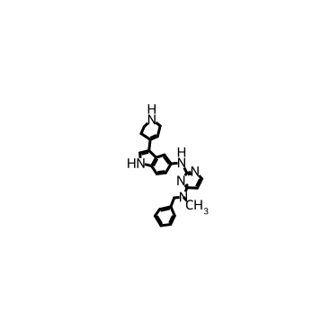 CN(Cc1ccccc1)c1ccnc(Nc2ccc3[nH]cc(C4=CCNCC4)c3c2)n1